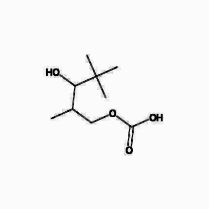 CC(COC(=O)O)C(O)C(C)(C)C